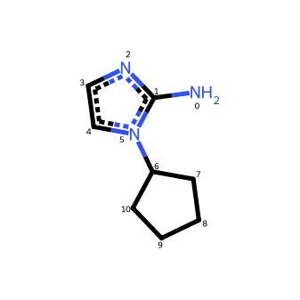 Nc1nccn1C1CCCC1